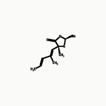 C/C=C/C(C)=C/[C@@]1(C)S[C@H](C(C)(C)C)OC1=O